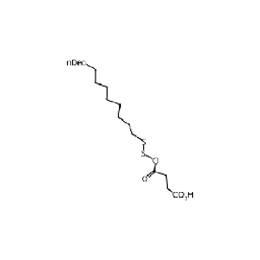 CCCCCCCCCCCCCCCCCCSSOC(=O)CCC(=O)O